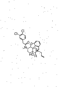 C=CCN1CC[C@]23c4c5cccc4OC2C(N(C)C(=O)Cc2ccc(Cl)c(Cl)c2)CC[C@@]3(O)[C@H]1C5